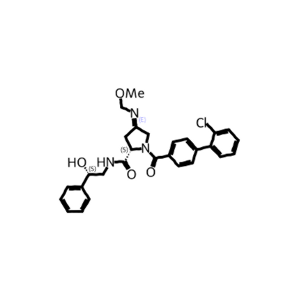 COC/N=C1\C[C@@H](C(=O)NC[C@@H](O)c2ccccc2)N(C(=O)c2ccc(-c3ccccc3Cl)cc2)C1